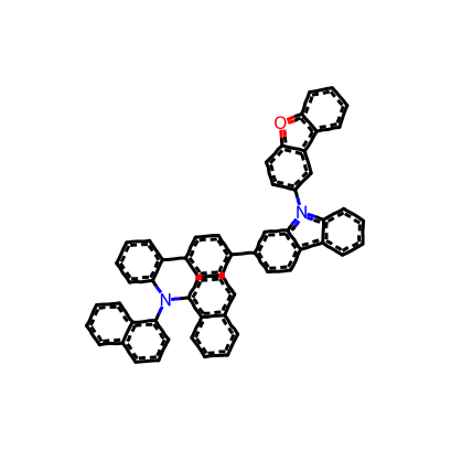 c1ccc(N(c2cccc3ccccc23)c2cccc3ccccc23)c(-c2ccc(-c3ccc4c5ccccc5n(-c5ccc6oc7ccccc7c6c5)c4c3)cc2)c1